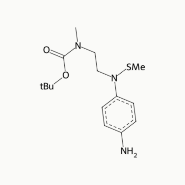 CSN(CCN(C)C(=O)OC(C)(C)C)c1ccc(N)cc1